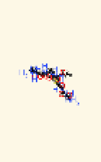 CC(C)CC(=O)NCC(=O)N[C@@H](CSCCCC(=O)NCC(=O)NCC(N)=O)C(=O)N1CCC[C@H]1C(=O)N[C@@H](CO)CCCNC(=N)N